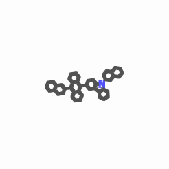 c1ccc2cc(-c3c4ccccc4c(-c4ccc5c(c4)c4ccccc4n5-c4ccc5ccccc5c4)c4ccccc34)ccc2c1